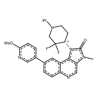 COc1ccc(-c2ccc3ncc4c(c3c2)n([C@H]2CCN(C(C)C)CC2(F)F)c(=O)n4C)cn1